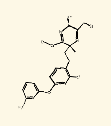 CCOC1=N[C@](C)(CCc2ccc(Oc3cccc(C(F)(F)F)c3)cc2Cl)C(OCC)=N[C@H]1C(C)C